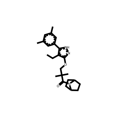 [CH2]Cc1c(OCC(C)(C)C(=O)N2C3CCC2CC3)n[nH]c1-c1cc(C)cc(C)c1